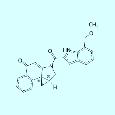 COCc1cccc2cc(C(=O)N3C[C@H]4C[C@@]45C3=CC(=O)c3ccccc35)[nH]c12